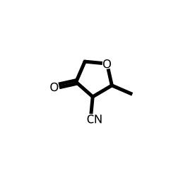 CC1OCC(=O)C1C#N